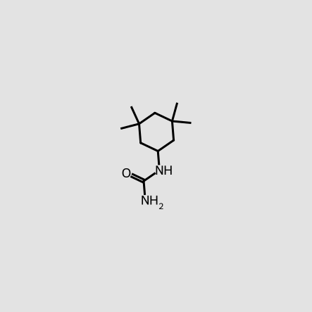 CC1(C)CC(NC(N)=O)CC(C)(C)C1